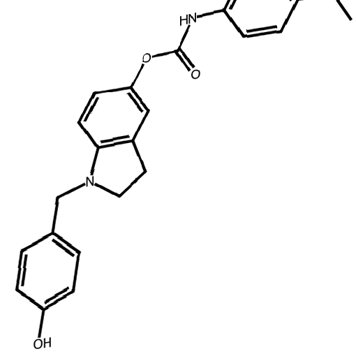 CC(C)c1ccc(NC(=O)Oc2ccc3c(c2)CCN3Cc2ccc(O)cc2)cc1